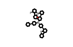 Fc1cccc2c1c1ccccc1n2-c1ccccc1-c1ccc(N(c2ccc(-c3ccccc3)cc2)c2ccc(-c3cccc4c3sc3ccccc34)cc2)cc1